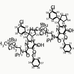 CC(C)N(CCO[Si](C)(C)C(C)(C)C)C(=O)c1nc(CC2(c3cccc(Cl)c3)CCCC2)nc(O)c1OCc1ccccc1.CC(C)N(CCO[Si](C)(C)C(C)(C)C)C(=O)c1nc(CC2(c3cccc(Cl)c3)CCCC2)nc(O)c1OCc1ccccc1